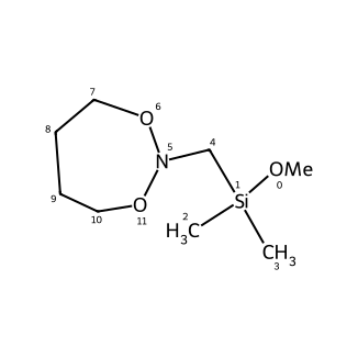 CO[Si](C)(C)CN1OCCCCO1